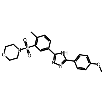 COc1ccc(-c2nnc(-c3ccc(C)c(S(=O)(=O)N4CCOCC4)c3)[nH]2)cc1